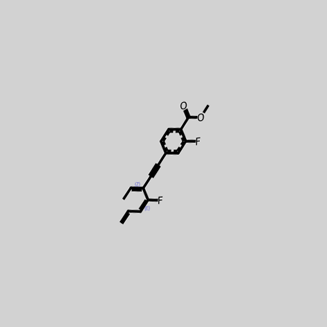 C=C/C=C(F)\C(C#Cc1ccc(C(=O)OC)c(F)c1)=C/C